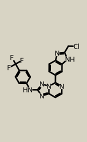 FC(F)(F)c1ccc(Nc2nc3ccnc(-c4ccc5nc(CCl)[nH]c5c4)n3n2)cc1